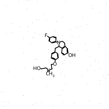 CN(CCO)CCOc1ccc(CC2c3ccc(O)cc3CCN2c2ccc(F)cc2)cc1